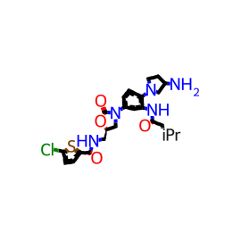 CC(C)CC(=O)Nc1cc(N2C[C@@H](CNC(=O)c3ccc(Cl)s3)OC2=O)ccc1N1CCC(N)C1